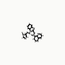 CN(Cc1nc2ccccc2n1CCc1cncn1C)C1CCCc2cccnc21